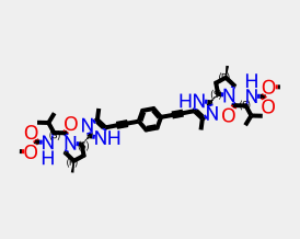 COC(=O)N[C@H](C(=O)N1C[C@H](C)C[C@H]1c1nc(C)c(C#Cc2ccc(C#Cc3[nH]c([C@@H]4C[C@@H](C)CN4C(=O)[C@@H](NC(=O)OC)C(C)C)nc3C)cc2)[nH]1)C(C)C